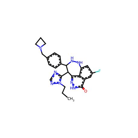 CCCn1ncnc1C1c2n[nH]c(=O)c3cc(F)cc(c23)NNC1c1ccc(CN2CCC2)cc1